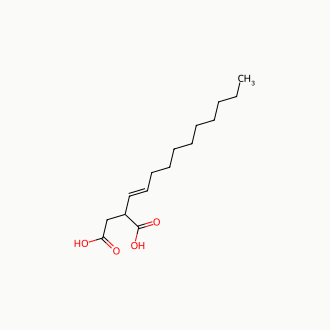 CCCCCCCCCC=CC(CC(=O)O)C(=O)O